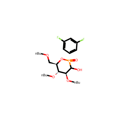 CCCCOC[C@H]1O[P@@](=O)(c2cc(F)cc(F)c2)C(O)[C@@H](OCCCC)[C@@H]1OCCCC